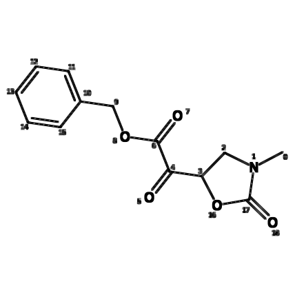 CN1CC(C(=O)C(=O)OCc2ccccc2)OC1=O